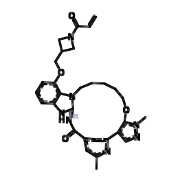 C=CC(=O)N1CC(COc2cccc3c2N2CCCCCOc4c(cnn4C)-c4cc(cc(C)n4)C(=O)/N=C/2N3)C1